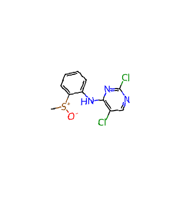 C[S+]([O-])c1ccccc1Nc1nc(Cl)ncc1Cl